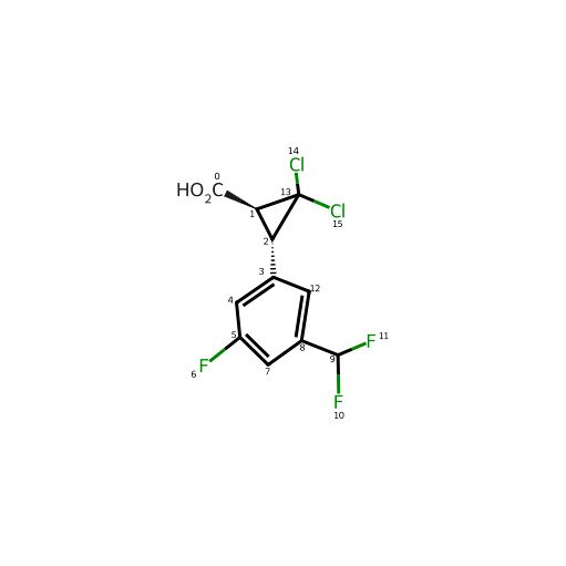 O=C(O)[C@@H]1[C@@H](c2cc(F)cc(C(F)F)c2)C1(Cl)Cl